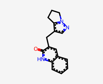 O=c1[nH]c2ccccc2cc1Cc1cnn2c1CCC2